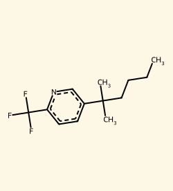 CCCCC(C)(C)c1ccc(C(F)(F)F)nc1